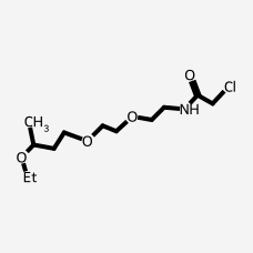 CCOC(C)CCOCCOCCNC(=O)CCl